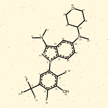 CN(C)c1nn(-c2cc(C(F)(F)F)c(F)c(O)c2F)c2ccc(N(C)C3CCOCC3)cc12